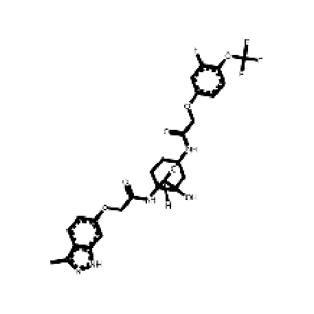 Cc1n[nH]c2cc(OCC(=O)NC34CCC(NC(=O)COc5ccc(OC(F)(F)F)c(F)c5)(CC3)C[C@@H]4O)ccc12